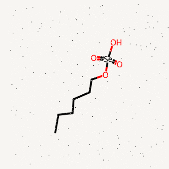 CCCCCCO[Se](=O)(=O)O